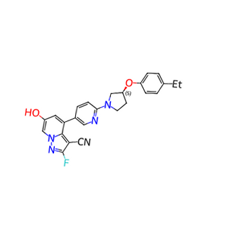 CCc1ccc(O[C@H]2CCN(c3ccc(-c4cc(O)cn5nc(F)c(C#N)c45)cn3)C2)cc1